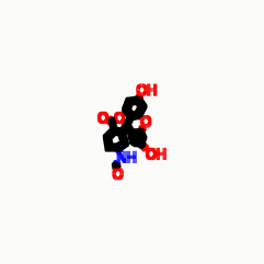 O=CNc1ccc2c(c1)C1(OC2=O)c2ccc(O)cc2Oc2cc(O)ccc21